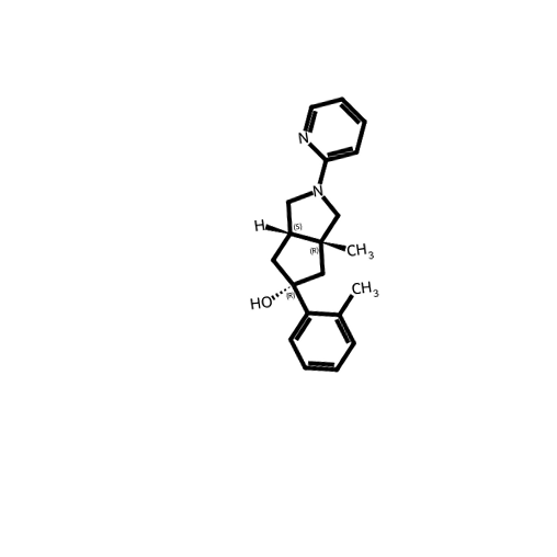 Cc1ccccc1[C@@]1(O)C[C@@H]2CN(c3ccccn3)C[C@]2(C)C1